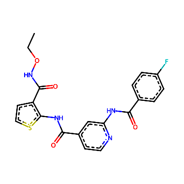 CCONC(=O)c1ccsc1NC(=O)c1ccnc(NC(=O)c2ccc(F)cc2)c1